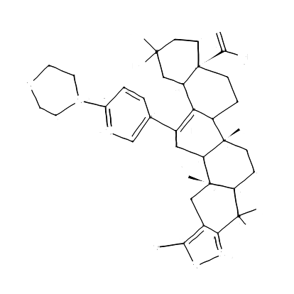 CC1(C)CC[C@]2(C(=O)O)CC[C@]3(C)C(=C(c4ccc(N5CCNCC5)nc4)CC4[C@@]5(C)Cc6c(n[nH]c6N)C(C)(C)C5CC[C@]43C)C2C1